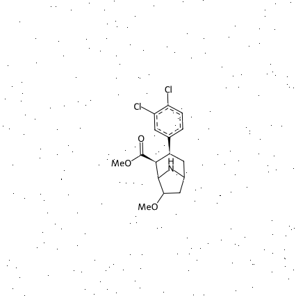 COC(=O)[C@@H]1C2NC(CC2OC)C[C@@H]1c1ccc(Cl)c(Cl)c1